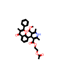 COC(=O)C1=C(C)NC(C)=C(C(=O)OCCOC(C)=O)C1c1cccc2c(=O)c(C)c(-c3ccccc3)oc12